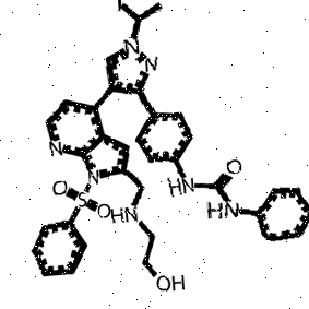 CC(I)n1cc(-c2ccnc3c2cc(CNCCO)n3S(=O)(=O)c2ccccc2)c(-c2ccc(NC(=O)Nc3ccccc3)cc2)n1